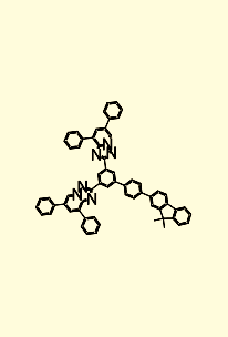 CC1(C)c2ccccc2-c2ccc(-c3ccc(-c4cc(-c5nc6c(-c7ccccc7)cc(-c7ccccc7)cn6n5)cc(-c5nc6c(-c7ccccc7)cc(-c7ccccc7)cn6n5)c4)cc3)cc21